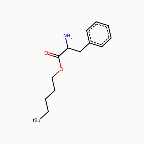 CC(C)(C)CCCCOC(=O)C(N)Cc1ccccc1